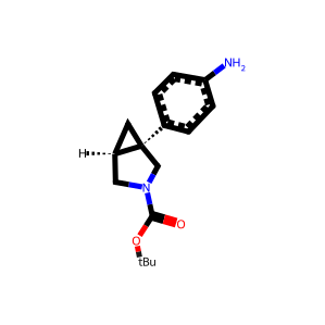 CC(C)(C)OC(=O)N1C[C@H]2C[C@@]2(c2ccc(N)cc2)C1